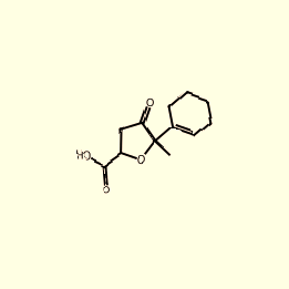 CC1(C2=CCCCC2)OC(C(=O)O)CC1=O